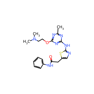 Cc1nc(Nc2ncc(CC(=O)Nc3ccccc3)s2)nc(OCCN(C)C)n1